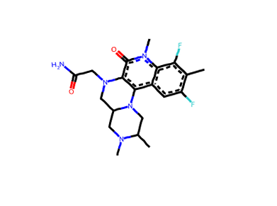 Cc1c(F)cc2c3c(c(=O)n(C)c2c1F)N(CC(N)=O)CC1CN(C)C(C)CN31